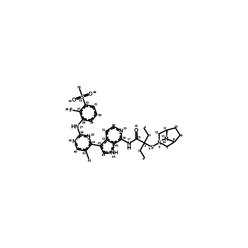 CCC(CC)(SN1CC2CCC(C1)N2C)C(=O)Nc1nccc2c(-c3nc(Nc4cccc(S(C)(=O)=O)c4F)ncc3C)c[nH]c12